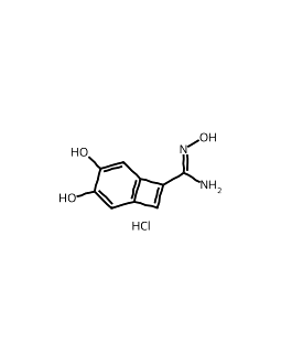 Cl.NC(=NO)C1=Cc2cc(O)c(O)cc21